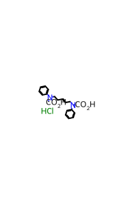 Cl.O=C(O)N(CC=CCCN(C(=O)O)c1ccccc1)c1ccccc1